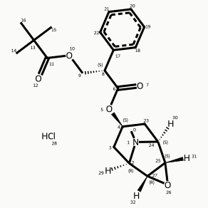 CN1[C@@H]2C[C@@H](OC(=O)[C@H](COC(=O)C(C)(C)C)c3ccccc3)C[C@H]1[C@@H]1O[C@@H]12.Cl